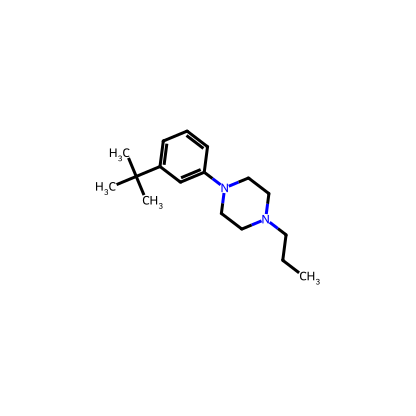 CCCN1CCN(c2cccc(C(C)(C)C)c2)CC1